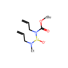 C=CCN(CC)[S+]([O-])N(CC=C)C(=O)OC(C)(C)C